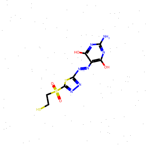 Nc1nc(O)c(/N=N/c2nnc(S(=O)(=O)CCS)s2)c(O)n1